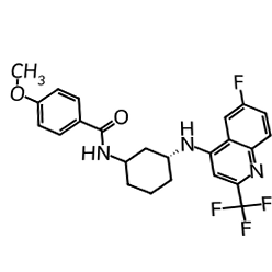 COc1ccc(C(=O)NC2CCC[C@@H](Nc3cc(C(F)(F)F)nc4ccc(F)cc34)C2)cc1